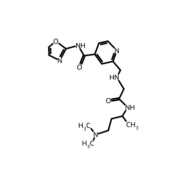 CC(CCN(C)C)NC(=O)CNCc1cc(C(=O)Nc2ncco2)ccn1